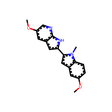 COc1cnc2[nH]c(-c3cc4cc(OC)ccc4n3C)cc2c1